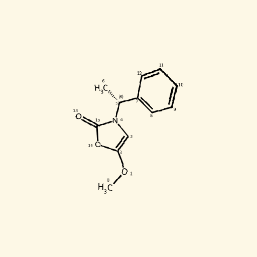 COc1cn([C@H](C)c2ccccc2)c(=O)o1